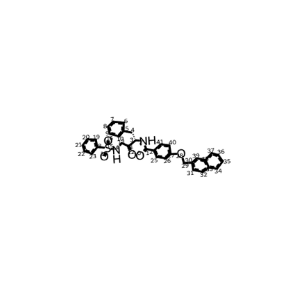 O=C(N[C@@H](Cc1ccccc1)C(=O)CNS(=O)(=O)c1ccccc1)c1ccc(OCc2ccc3ccccc3c2)cc1